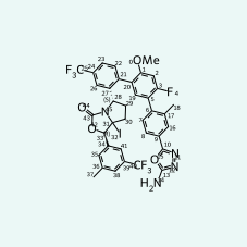 COc1cc(F)c(-c2ccc(-c3nnc(N)o3)cc2C)cc1-c1ccc(C(F)(F)F)cc1[C@@H]1CCC2(I)[C@@H](c3cc(C)cc(C(F)(F)F)c3)OC(=O)N12